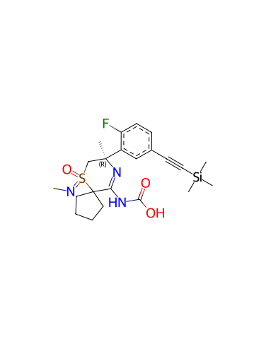 CN=S1(=O)C[C@@](C)(c2cc(C#C[Si](C)(C)C)ccc2F)N=C(NC(=O)O)C12CCCC2